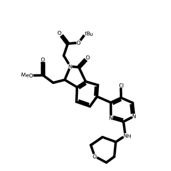 COC(=O)CC1c2ccc(-c3nc(NC4CCOCC4)ncc3Cl)cc2C(=O)N1CC(=O)OC(C)(C)C